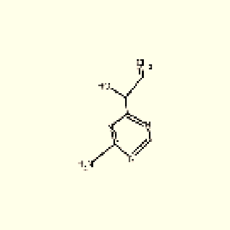 C=CC(O)c1ncnc(N)n1